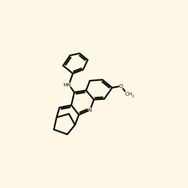 COC1=CCc2c(Nc3ccccc3)c3c(nc2=C1)C1CCC(C=3)C1